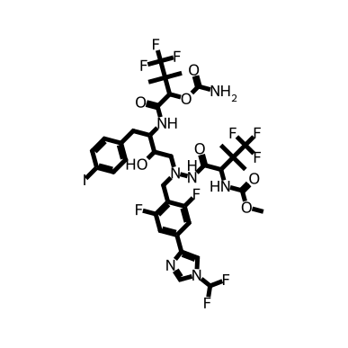 COC(=O)NC(C(=O)NN(Cc1c(F)cc(-c2cn(C(F)F)cn2)cc1F)CC(O)C(Cc1ccc(I)cc1)NC(=O)C(OC(N)=O)C(C)(C)C(F)(F)F)C(C)(C)C(F)(F)F